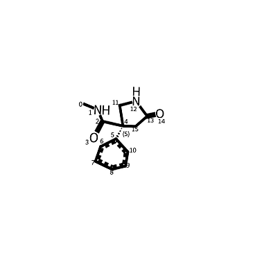 CNC(=O)[C@@]1(c2ccccc2)CNC(=O)C1